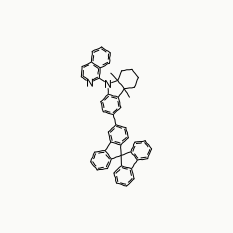 CC12CCCCC1(C)N(c1nccc3ccccc13)c1ccc(-c3ccc4c(c3)-c3ccccc3C43c4ccccc4-c4ccccc43)cc12